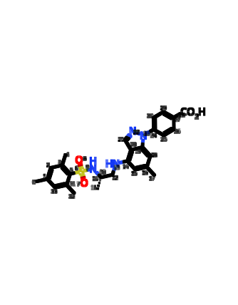 Cc1cc(C)c(S(=O)(=O)N[C@@H](C)CNc2cc(C)cc3c2cnn3-c2ccc(C(=O)O)cc2)c(C)c1